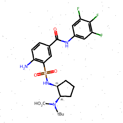 CC(C)(C)N(C(=O)O)[C@@H]1CCC[C@@H]1NS(=O)(=O)c1cc(C(=O)Nc2cc(F)c(F)c(F)c2)ccc1N